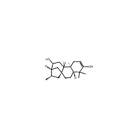 C[C@@H]1C[C@]23CC[C@H]4C(C)(C)C(O)=CC[C@]4(C)[C@H]2CC(O)[C@@H]1C3